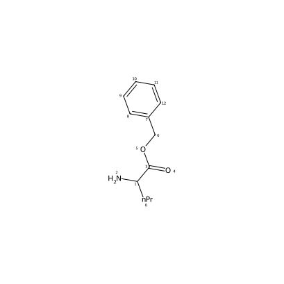 CCCC(N)C(=O)OCc1ccccc1